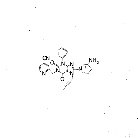 CC#CCn1c(N2CCC[C@@H](N)C2)nc2c1c(=O)n(Cc1cc(C#N)ccn1)c(=O)n2-c1ccccc1